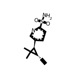 C#C[C@H]1[C@H](c2ccc(S(N)(=O)=O)nc2)C1(C)C